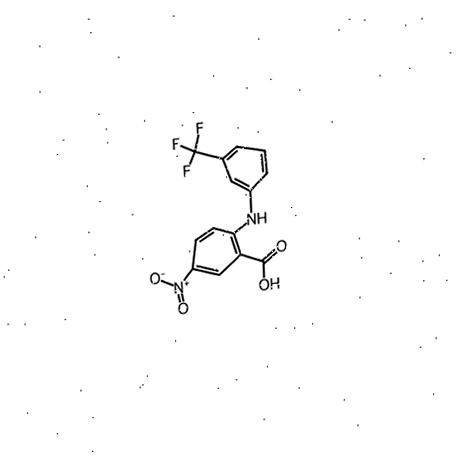 O=C(O)c1cc([N+](=O)[O-])ccc1Nc1cccc(C(F)(F)F)c1